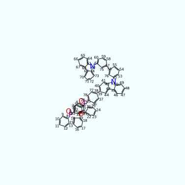 O=P(c1ccccc1)(c1ccccc1)c1ccccc1Oc1ccccc1P(=O)(c1ccccc1)c1ccc(-c2ccc3c(c2)c2ccccc2n3-c2cccc(-c3cccc(-n4c5ccccc5c5ccccc54)c3)c2)cc1